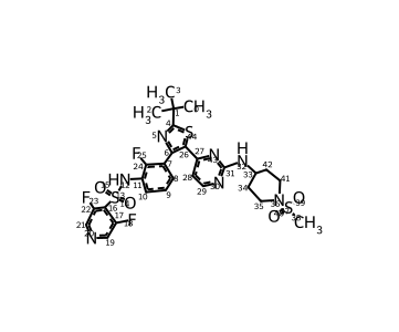 CC(C)(C)c1nc(-c2cccc(NS(=O)(=O)c3c(F)cncc3F)c2F)c(-c2ccnc(NC3CCN(S(C)(=O)=O)CC3)n2)s1